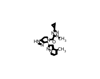 Cc1cccn2nc([C@@H]3c4nc[nH]c4CCN3C(=O)c3nc(C4CC4)nn3C)cc12